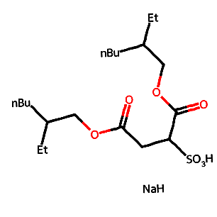 CCCCC(CC)COC(=O)CC(C(=O)OCC(CC)CCCC)S(=O)(=O)O.[NaH]